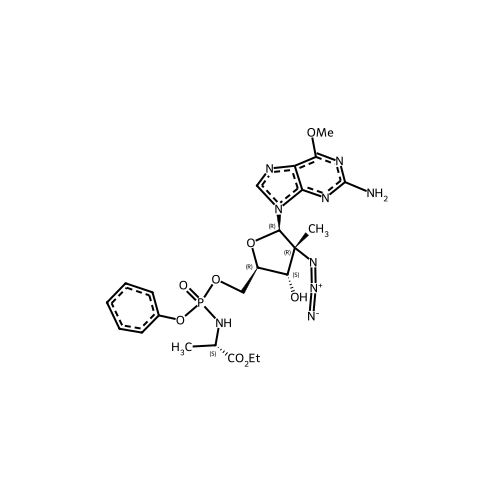 CCOC(=O)[C@H](C)NP(=O)(OC[C@H]1O[C@@H](n2cnc3c(OC)nc(N)nc32)[C@](C)(N=[N+]=[N-])[C@@H]1O)Oc1ccccc1